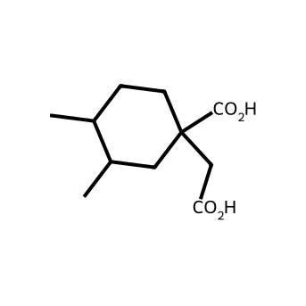 CC1CCC(CC(=O)O)(C(=O)O)CC1C